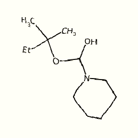 CCC(C)(C)OC(O)N1CCCCC1